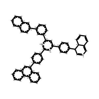 C1=CC2=CN=CC(c3ccc(-c4cc(-c5cccc(-c6ccc7ccccc7c6)c5)nc(-c5ccc(-c6cc7ccccc7c7ccccc67)cc5)n4)cc3)C2C=C1